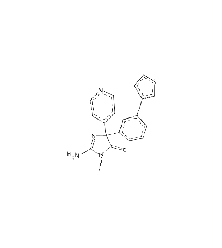 CN1C(=O)C(c2ccncc2)(c2cccc(-c3ccsc3)c2)N=C1N